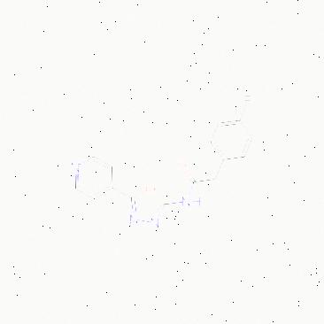 O=C(Cc1ccc(F)cc1)Nc1nnc(-c2ccncc2)o1